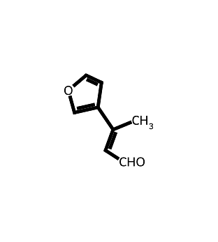 C/C(=C\C=O)c1ccoc1